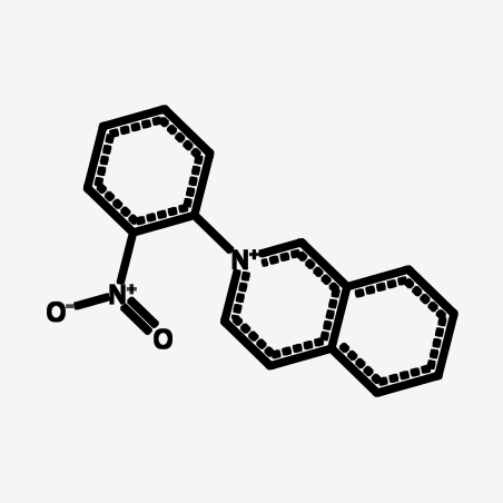 O=[N+]([O-])c1ccccc1-[n+]1ccc2ccccc2c1